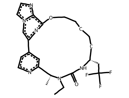 CCN1C(=O)N[C@@H](CC(F)(F)F)CCCCCOc2nc(cn3ccnc23)-c2ccnc(c2)[C@H]1C